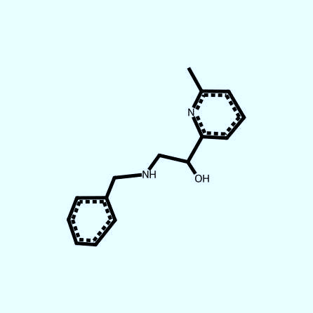 Cc1cccc(C(O)CNCc2ccccc2)n1